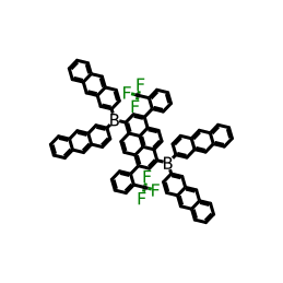 FC(F)(F)c1ccccc1-c1cc(B(c2ccc3cc4ccccc4cc3c2)c2ccc3cc4ccccc4cc3c2)c2ccc3c(-c4ccccc4C(F)(F)F)cc(B(c4ccc5cc6ccccc6cc5c4)c4ccc5cc6ccccc6cc5c4)c4ccc1c2c43